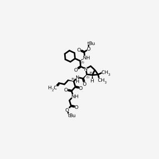 C=CCC[C@@H](NC(=O)[C@@H]1[C@@H]2C(CN1C(=O)[C@@H](NC(=O)OC(C)(C)C)C1CCCCC1)C2(C)C)C(=O)C(=O)NCC(=O)OC(C)(C)C